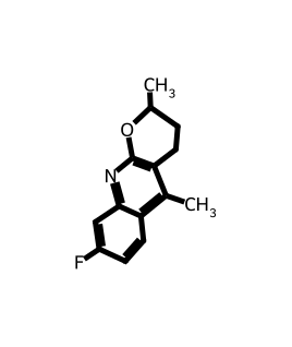 Cc1c2c(nc3cc(F)ccc13)OC(C)CC2